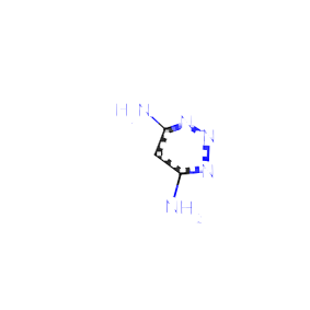 Nc1cc(N)nnn1